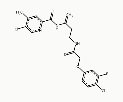 C=C(CCNC(=O)COc1ccc(Cl)c(F)c1)NC(=O)c1cc(C)c(Cl)cn1